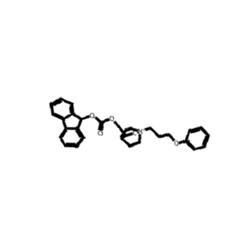 O=C(OC1c2ccccc2-c2ccccc21)OC1C[N+]2(CCCOc3ccccc3)CCC1CC2